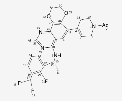 CC(=O)N1CC=C(c2cc3c(N[C@H](C)c4cccc(C(F)F)c4F)nc(C)nc3c3c2OCCO3)CC1